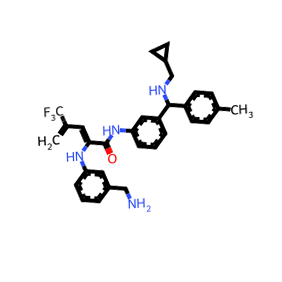 C=C(/C=C(\Nc1cccc(CN)c1)C(=O)Nc1cccc(C(NCC2CC2)c2ccc(C)cc2)c1)C(F)(F)F